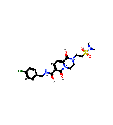 CN(C)S(=O)(=O)CCN1CCn2c(ccc(C(=O)NCc3ccc(Cl)cc3)c2=O)C1=O